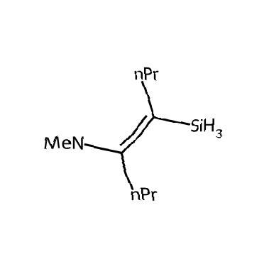 CCCC([SiH3])=C(CCC)NC